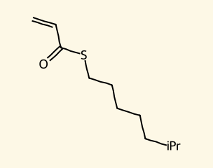 C=CC(=O)SCCCCCC(C)C